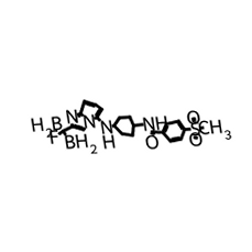 BC(B)(F)c1cn2c(NC3CCC(NC(=O)c4ccc(S(C)(=O)=O)cc4)CC3)cccc2n1